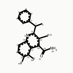 CC(c1ccccc1)c1nc2ccc(F)c(F)c2c(C(N)=O)c1F